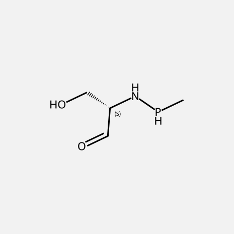 CPN[C@H](C=O)CO